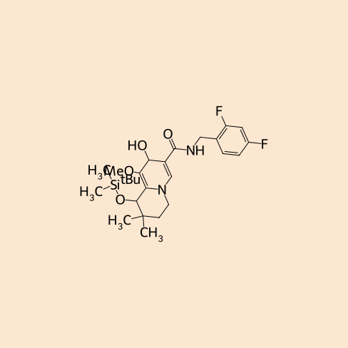 COC1=C2C(O[Si](C)(C)C(C)(C)C)C(C)(C)CCN2C=C(C(=O)NCc2ccc(F)cc2F)C1O